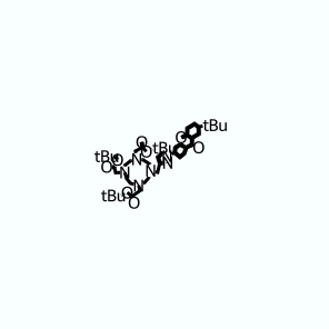 CC(C)(C)OC(=O)CN1CCN(CC(=O)OC(C)(C)C)CCN(Cc2ccn(-c3ccc4c(=O)c5cc(C(C)(C)C)ccc5oc4c3)n2)CCN(CC(=O)OC(C)(C)C)CC1